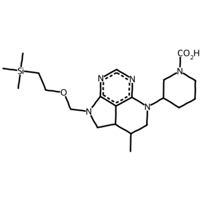 CC1CN(C2CCCN(C(=O)O)C2)c2ncnc3c2C1CN3COCC[Si](C)(C)C